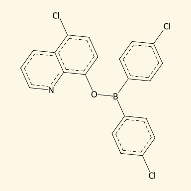 Clc1ccc(B(Oc2ccc(Cl)c3cccnc23)c2ccc(Cl)cc2)cc1